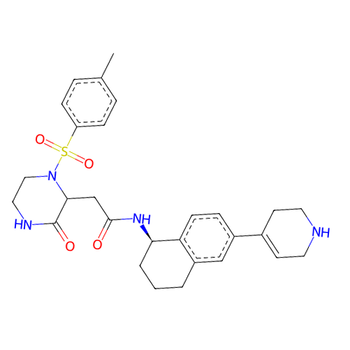 Cc1ccc(S(=O)(=O)N2CCNC(=O)C2CC(=O)N[C@@H]2CCCc3cc(C4=CCNCC4)ccc32)cc1